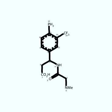 CNCC(=O)NC(CC(=O)O)c1ccc(P)c(C(F)(F)F)c1